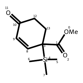 COC(=O)C1([Si](C)(C)C)C=CC(=O)CC1